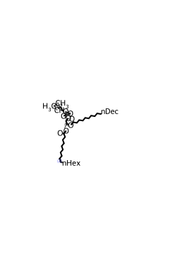 CCCCCC/C=C\CCCCCCCC(=O)OC[C@H](COP(=O)([O-])OCC[N+](C)(C)C)OC(=O)CCCCCCCCCCCCCCCCCCC